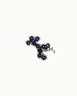 CC1(C)c2ccccc2-c2ccc(N(c3ccc(-c4ccc5c(c4)N(c4ccccc4)c4ccccc4N5c4ccccc4)cc3)c3ccc(-c4cccc5c4sc4ccccc45)cc3)cc21